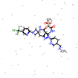 C/N=C/C1C=NC(n2nc3c(c2NC(=O)CS(C)(=O)=O)C(=O)NC2(C3)CN(c3ccc(C(F)(F)F)cn3)C2)=CC1